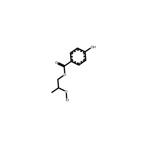 CCOC(C)COC(=O)c1ccc(O)cc1